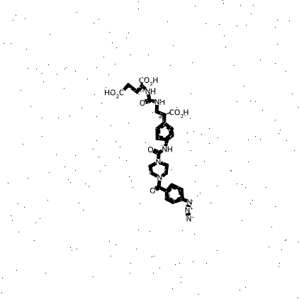 [N-]=[N+]=Nc1ccc(C(=O)N2CCN(C(=O)Nc3ccc([C@H](CNC(=O)N[C@@H](CCC(=O)O)C(=O)O)C(=O)O)cc3)CC2)cc1